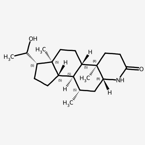 CC(O)[C@H]1CC[C@H]2[C@@H]3[C@@H](C)C[C@H]4NC(=O)CC[C@]4(C)[C@H]3CC[C@]12C